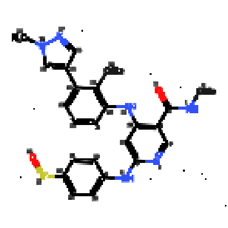 CONC(=O)c1cnc(Nc2ccc([S+]=O)cc2)cc1Nc1cccc(-c2cnn(C)c2)c1OC